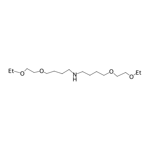 CCOCCOCCCCNCCCCOCCOCC